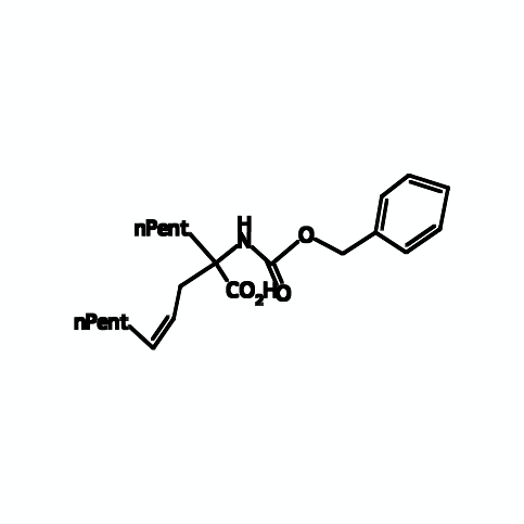 CCCCC/C=C\CC(CCCCC)(NC(=O)OCc1ccccc1)C(=O)O